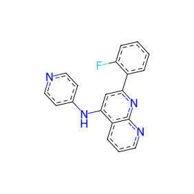 Fc1ccccc1-c1cc(Nc2ccncc2)c2cccnc2n1